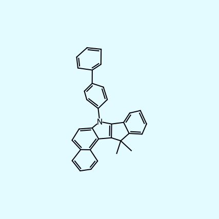 CC1(C)c2ccccc2-c2c1c1c3ccccc3ccc1n2-c1ccc(-c2ccccc2)cc1